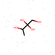 CC(O)C(O)(O)CO